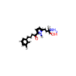 CCC(N)(CO)CCc1ccc(C(=O)CCCc2cccc(C)c2C)n1C